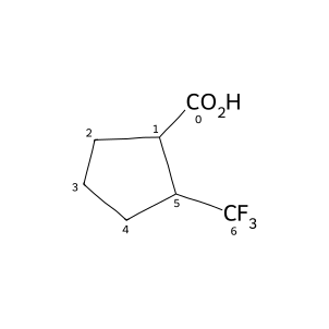 O=C(O)C1CCCC1C(F)(F)F